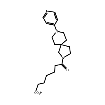 O=C(O)CCCCCC(=O)N1CCC2(CCN(c3ccncc3)CC2)C1